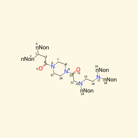 CCCCCCCCCC(CCCCCCCCC)CC(=O)N1CCN(C(=O)CN(CCCCCCCCC)CCN(CCCCCCCCC)CCCCCCCCC)CC1